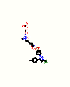 COC(=O)OCO/N=[N+](\[O-])N(C)CCCCC(=O)NS(=O)(=O)c1ccc(-n2nc(C(F)(F)F)cc2-c2ccc(C)cc2)cc1